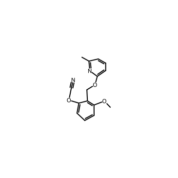 COc1cccc(OC#N)c1COc1cccc(C)n1